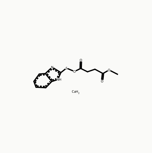 COC(=O)CCC(=O)OSc1nc2ccccc2[nH]1.[CaH2]